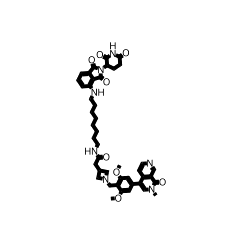 COc1cc(-c2cn(C)c(=O)c3cnccc23)cc(OC)c1CN1CC(CC(=O)NCCCCCCCCNc2cccc3c2C(=O)N(C2CCC(=O)NC2=O)C3=O)C1